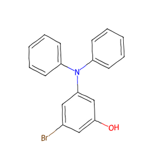 Oc1cc(Br)cc(N(c2ccccc2)c2ccccc2)c1